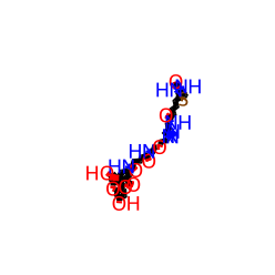 O=C(CCCC(=O)Nc1ccc2c(c1)C(=O)OC21c2ccc(O)cc2Oc2cc(O)ccc21)NCCOCCn1cc(CNC(=O)CCCCC2SCC3NC(=O)NC32)nn1